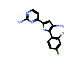 Nc1nccc(-c2cc(N)c(-c3ccc(Cl)cc3Cl)[nH]2)n1